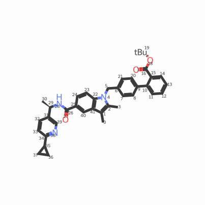 Cc1c(C)n(Cc2ccc(-c3ccccc3C(=O)OC(C)(C)C)cc2)c2ccc(C(=O)N[C@H](C)c3ccc(C4CC4)nc3)cc12